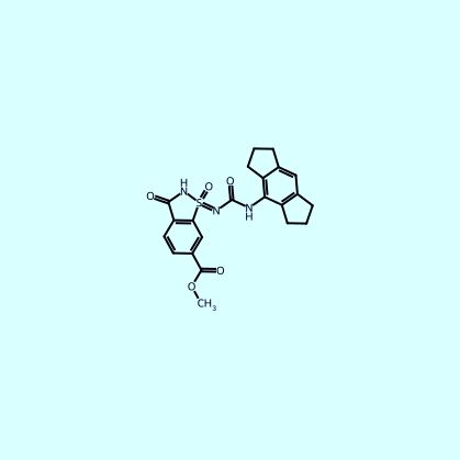 COC(=O)c1ccc2c(c1)S(=O)(=NC(=O)Nc1c3c(cc4c1CCC4)CCC3)NC2=O